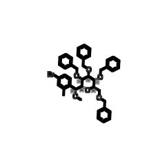 CO[C@H](c1ccc(Br)cc1C)[C@H]1O[C@H](COCc2ccccc2)[C@@H](OCc2ccccc2)[C@H](OCc2ccccc2)[C@@H]1OCc1ccccc1